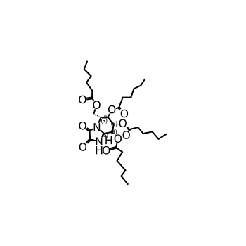 CCCCCC(=O)OC[C@@H]1[C@@H](OC(=O)CCCCC)[C@H](OC(=O)CCCCC)[C@H](OC(=O)CCCCC)[C@H]2NC(=O)C(=O)N12